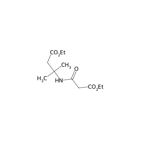 CCOC(=O)CC(=O)NC(C)(C)CC(=O)OCC